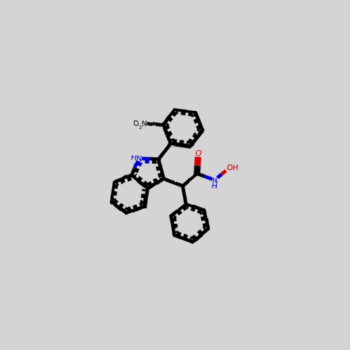 O=C(NO)C(c1ccccc1)c1c(-c2ccccc2[N+](=O)[O-])[nH]c2ccccc12